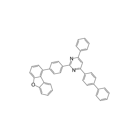 c1ccc(-c2ccc(-c3cc(-c4ccccc4)nc(-c4ccc(-c5cccc6oc7ccccc7c56)cc4)n3)cc2)cc1